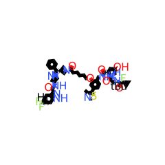 Cc1ncsc1-c1ccc(CNC(=O)[C@@H]2C[C@@H](O)CN2C(=O)[C@@H](NC(=O)C2(F)CC2)C(C)(C)C)c(OCCCCCC(=O)N2CC([C@@H](c3ccccc3)n3cc(NC(=O)c4n[nH]c5c4C[C@@H]4C(F)(F)[C@]4(C)C5)cn3)C2)c1